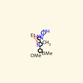 CCOc1nc(N2CCNCC2)nc2c1sc1nc(-c3ccc(OC)c(OC)c3)cc(C)c12